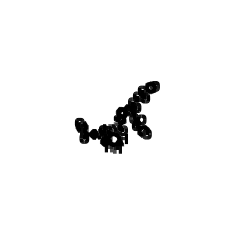 O=C(OCOP(=O)(Cc1ccc2sc(C(=O)N[C@H]3C[C@@H]4C[C@@H]4C[C@H]4CC[C@@H](C(=O)N5CC(C(=O)N6CCOCC6)C5)N4C3=O)cc2c1)OCOC(=O)OC1CCOCC1)OC1CCOCC1